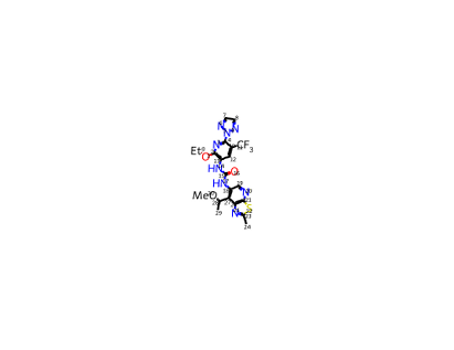 CCOc1nc(-n2nccn2)c(C(F)(F)F)cc1NC(=O)Nc1cnc2sc(C)nc2c1C(C)OC